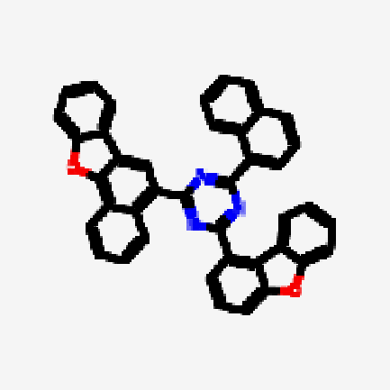 c1ccc2c(-c3nc(-c4cc5c6ccccc6oc5c5ccccc45)nc(-c4cccc5oc6ccccc6c45)n3)cccc2c1